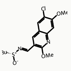 COc1cc2nc(OC)c(C=N[S@+]([O-])C(C)(C)C)cc2cc1Cl